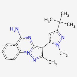 Cc1nn2c(nc(N)c3ccccc32)c1-c1cc(C(C)(C)C)nn1C